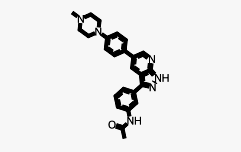 CC(=O)Nc1cccc(-c2n[nH]c3ncc(-c4ccc(N5CCN(C)CC5)cc4)cc23)c1